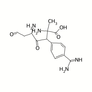 CC(N)(C(=O)O)C(C(=O)C(N)CC=O)c1ccc(C(=N)N)cc1